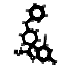 NC(=O)C1(c2ccc(F)cc2F)CCN(Cc2ccccc2)CC1